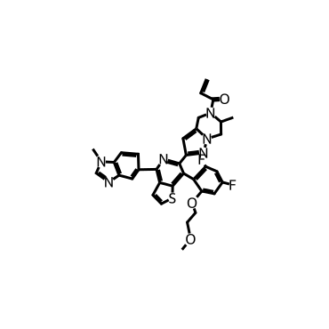 C=CC(=O)N1Cc2cc(-c3nc(-c4ccc5c(c4)ncn5C)c4ccsc4c3-c3c(F)cc(F)cc3OCCOC)nn2CC1C